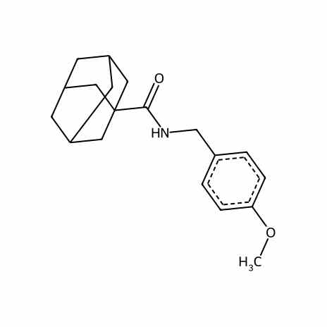 COc1ccc(CNC(=O)C23CC4CC(CC(C4)C2)C3)cc1